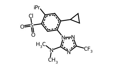 CC(C)c1cc(C2CC2)c(-n2nc(C(F)(F)F)nc2N(C)C)cc1S(=O)(=O)Cl